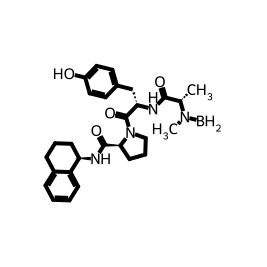 BN(C)[C@@H](C)C(=O)N[C@@H](Cc1ccc(O)cc1)C(=O)N1CCC[C@H]1C(=O)N[C@@H]1CCCc2ccccc21